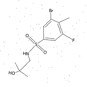 Cc1c(F)cc(S(=O)(=O)NCC(C)(C)O)cc1Br